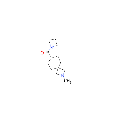 CN1CC2(CCC(C(=O)N3CCC3)CC2)C1